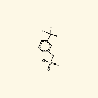 O=S(=O)(Cl)Cc1cccc(C(F)(F)F)c1